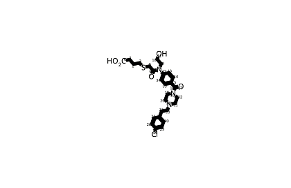 O=C(O)CCCSCC(=O)N(CCO)c1ccc(C(=O)N2CCN(CCc3ccc(Cl)cc3)CC2)cc1